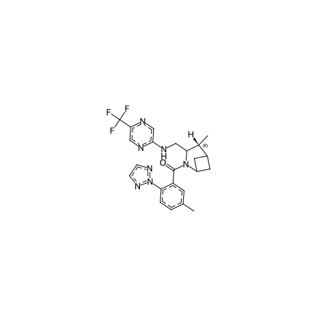 Cc1ccc(-n2nccn2)c(C(=O)N2C3CC(C3)[C@@H](C)C2CNc2cnc(C(F)(F)F)cn2)c1